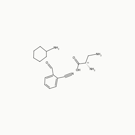 N#Cc1ccccc1C=O.NC1CCCCC1.NC[C@H](N)C(=O)O